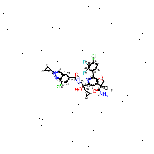 C[C@]1(C(N)=O)COc2c1cc([C@@](O)(CNC(=O)c1cc(Cl)c3nn(C4CC4)cc3c1)C1CC1)nc2-c1ccc(Cl)c(F)c1F